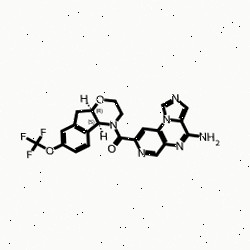 Nc1nc2cnc(C(=O)N3CCO[C@@H]4Cc5cc(OC(F)(F)F)ccc5[C@@H]43)cc2n2cncc12